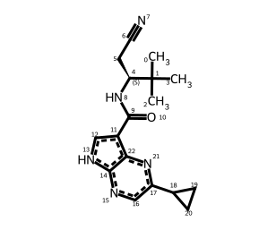 CC(C)(C)[C@H](CC#N)NC(=O)c1c[nH]c2ncc(C3CC3)nc12